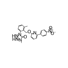 Cc1cccc(N2NNN(C)C2=O)c1COc1cccc(-c2ccc([N+](=O)[O-])cc2)n1